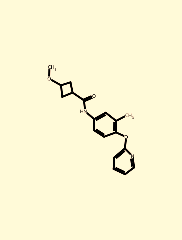 COC1CC(C(=O)Nc2ccc(Oc3ccccn3)c(C)c2)C1